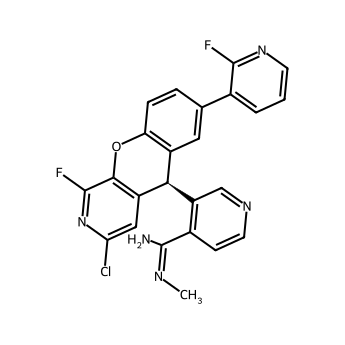 C/N=C(/N)c1ccncc1[C@@H]1c2cc(-c3cccnc3F)ccc2Oc2c1cc(Cl)nc2F